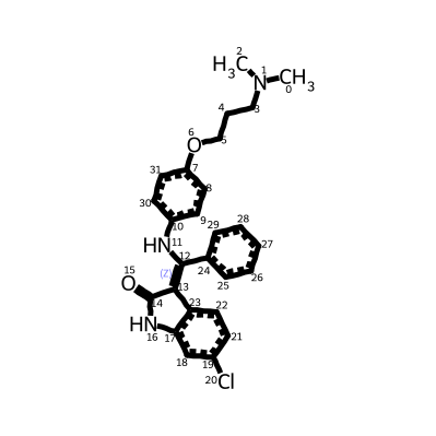 CN(C)CCCOc1ccc(N/C(=C2\C(=O)Nc3cc(Cl)ccc32)c2ccccc2)cc1